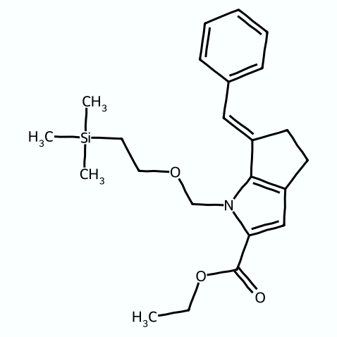 CCOC(=O)c1cc2c(n1COCC[Si](C)(C)C)/C(=C/c1ccccc1)CC2